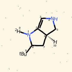 [2H]N1C2=CNC[C@H]2CC1C(C)(C)C